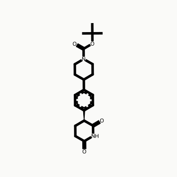 CC(C)(C)OC(=O)N1CCC(c2ccc([C@@H]3CCC(=O)NC3=O)cc2)CC1